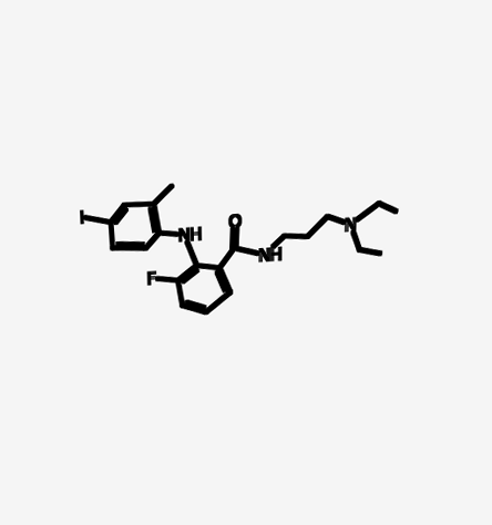 CCN(CC)CCCNC(=O)c1cccc(F)c1Nc1ccc(I)cc1C